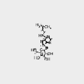 CC(C)=CCNc1ncnc2c1ncn2O[C@@H]1O[C@H](CO)[C@@H](O)[C@H](O)[C@H]1O